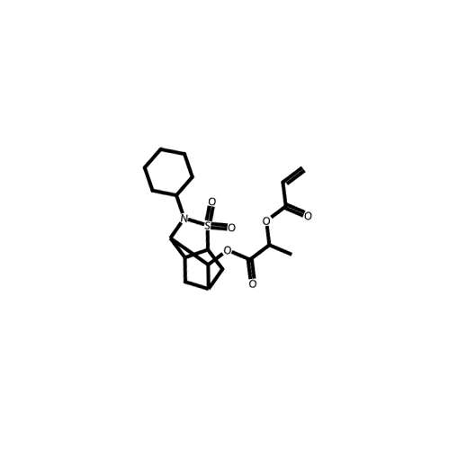 C=CC(=O)OC(C)C(=O)OC1C2CC3C1N(C1CCCCC1)S(=O)(=O)C3C2